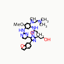 C=CC(=O)Nc1cc(Nc2nccc(-c3[nH]c(CCCO)nc3-c3ccc4ccoc4c3)n2)c(OC)cc1N(C)CCN(C)C